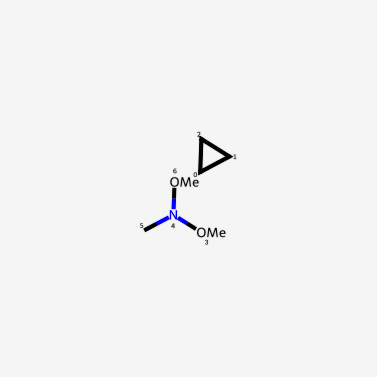 C1CC1.CON(C)OC